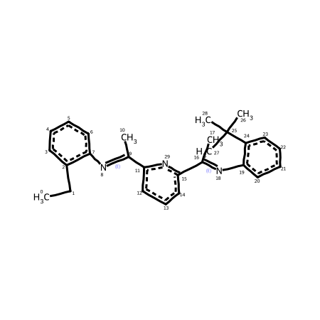 CCc1ccccc1/N=C(\C)c1cccc(/C(C)=N/c2ccccc2C(C)(C)C)n1